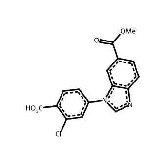 COC(=O)c1ccc2ncn(-c3ccc(C(=O)O)c(Cl)c3)c2c1